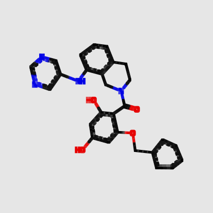 O=C(c1c(O)cc(O)cc1OCc1ccccc1)N1CCc2cccc(Nc3cncnc3)c2C1